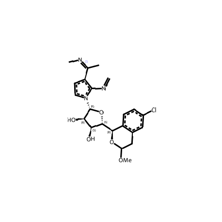 C=Nc1c(/C(C)=N\C)ccn1[C@@H]1O[C@H]([C@@H]2OC(OC)Cc3cc(Cl)ccc32)[C@@H](O)[C@H]1O